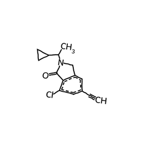 C#Cc1cc(Cl)c2c(c1)CN(C(C)C1CC1)C2=O